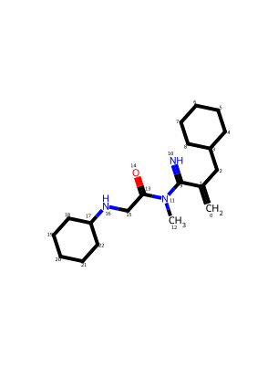 C=C(CC1CCCCC1)C(=N)N(C)C(=O)CNC1CCCCC1